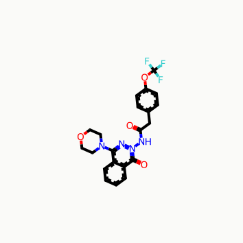 O=C(Cc1ccc(OC(F)(F)F)cc1)Nn1nc(N2CCOCC2)c2ccccc2c1=O